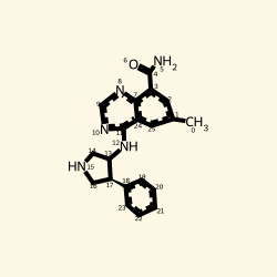 Cc1cc(C(N)=O)c2ncnc(NC3CNC[C@@H]3c3ccccc3)c2c1